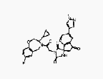 Cn1cc(-c2ccc3c(c2)C(=O)C[C@]32NC(=O)N(CC(=O)N3Cc4cc(F)ccc4OCC3C3CC3)C2=O)cn1